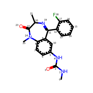 CNC(=O)Nc1ccc2c(c1)C(c1ccccc1F)=NC(C)C(=O)N2C